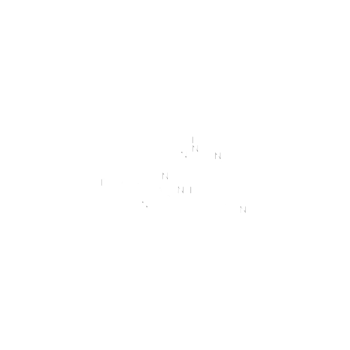 Fc1cccc(-c2nccc3[nH]c(-c4n[nH]c5ncc(-c6ccncc6)cc45)nc23)c1